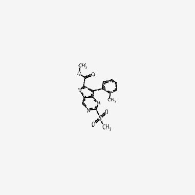 COC(=O)c1sc2cnc(S(C)(=O)=O)nc2c1-c1ccccc1C